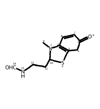 CN1C2=C(CC(=O)C=C2)SC1CCNC=O